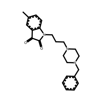 Cc1ccc2c(c1)C(=O)C(=O)N2CCCN1CCN(Cc2ccccc2)CC1